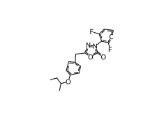 CCC(C)Oc1ccc(Cc2nn(-c3c(F)cccc3F)c(=O)o2)cc1